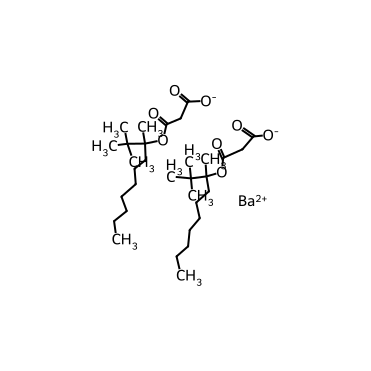 CCCCCCCC(C)(OC(=O)CC(=O)[O-])C(C)(C)C.CCCCCCCC(C)(OC(=O)CC(=O)[O-])C(C)(C)C.[Ba+2]